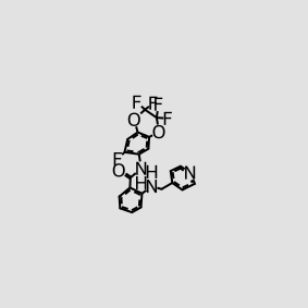 O=C(Nc1cc2c(cc1F)OC(F)(F)C(F)(F)O2)c1ccccc1NCc1ccncc1